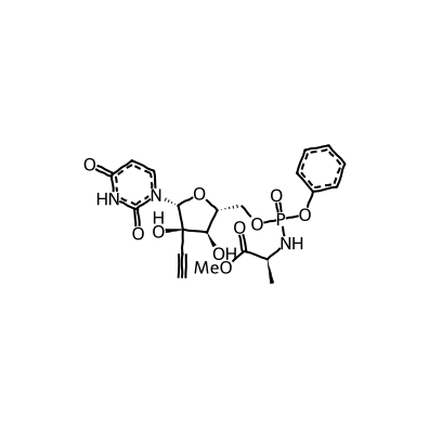 C#C[C@@]1(O)[C@H](O)[C@@H](COP(=O)(N[C@@H](C)C(=O)OC)Oc2ccccc2)O[C@H]1n1ccc(=O)[nH]c1=O